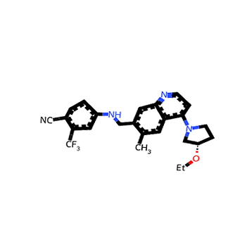 CCO[C@H]1CCN(c2ccnc3cc(CNc4ccc(C#N)c(C(F)(F)F)c4)c(C)cc23)C1